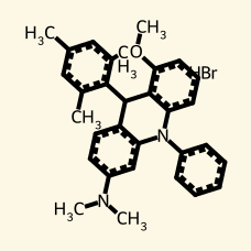 Br.COc1cccc2c1C(c1c(C)cc(C)cc1C)c1ccc(N(C)C)cc1N2c1ccccc1